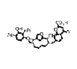 CCCc1c(OCC/C=C\C=C\[C@H](Sc2ccc3c(=O)cc(C(=O)O)oc3c2)[C@H](O)c2cc(Cl)co2)ccc(C(C)=O)c1O